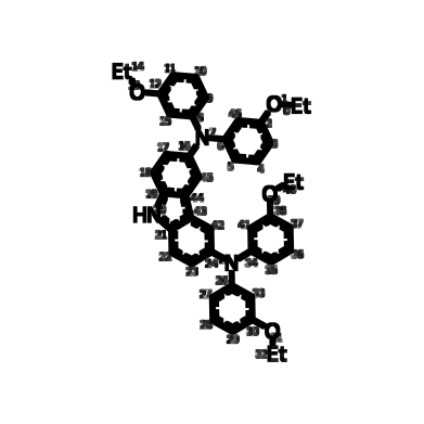 CCOc1cccc(N(c2cccc(OCC)c2)c2ccc3[nH]c4ccc(N(c5cccc(OCC)c5)c5cccc(OCC)c5)cc4c3c2)c1